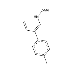 C=C/C(=C\NSC)c1ccc(C)cc1